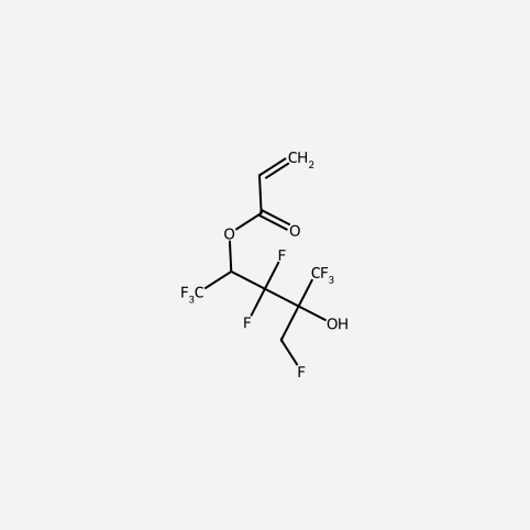 C=CC(=O)OC(C(F)(F)F)C(F)(F)C(O)(CF)C(F)(F)F